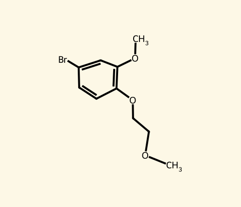 COCCOc1ccc(Br)cc1OC